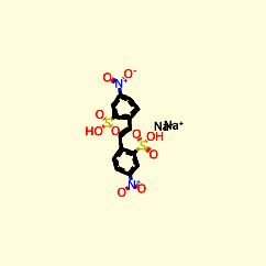 O=[N+]([O-])c1ccc(/C=C/c2ccc([N+](=O)[O-])cc2S(=O)(=O)O)c(S(=O)(=O)O)c1.[Na+].[Na+]